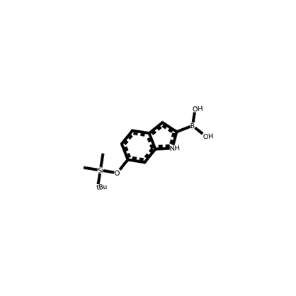 CC(C)(C)[Si](C)(C)Oc1ccc2cc(B(O)O)[nH]c2c1